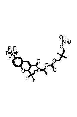 CC(OC(=O)OCC(C)(C)CO[N+](=O)[O-])OC(=O)C1=Cc2cc(S(F)(F)(F)(F)F)ccc2OC1C(F)(F)F